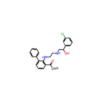 COC(=O)c1cccc(-c2ccccc2)c1NCCNCC(O)c1cccc(Cl)c1